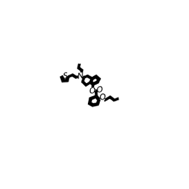 CCCCOc1ccccc1C(=O)Oc1cccc2c1CCC(N(CCC)CCc1cccs1)C2